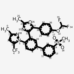 Cc1cc(C(F)(F)F)n(-c2ccc(-c3cccc(S(C)(=O)=O)c3)cc2-c2nc(C)oc2-c2ccc(OC(F)F)cc2)n1